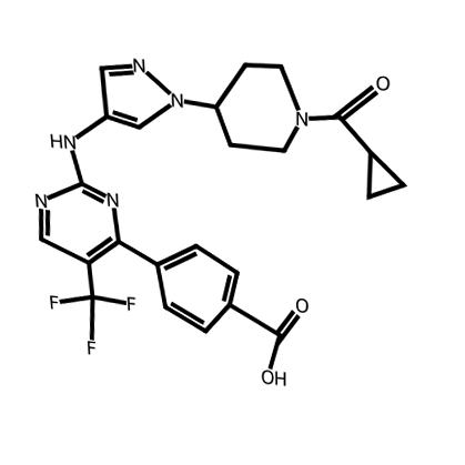 O=C(O)c1ccc(-c2nc(Nc3cnn(C4CCN(C(=O)C5CC5)CC4)c3)ncc2C(F)(F)F)cc1